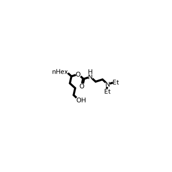 CCCCCCC(CCCO)OC(=O)NCCN(CC)CC